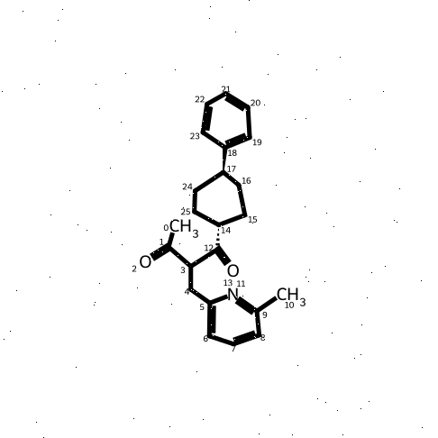 CC(=O)C(Cc1cccc(C)n1)C(=O)[C@H]1CC[C@H](c2ccccc2)CC1